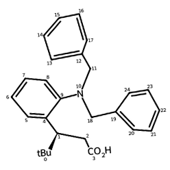 CC(C)(C)[C@H](CC(=O)O)c1ccccc1N(Cc1ccccc1)Cc1ccccc1